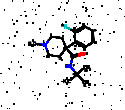 CN1CCC(C(=O)NC(C)(C)C)(c2ccccc2F)CC1